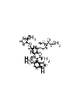 C=CC(=O)N1CCC(c2nc(OCC3CCCN3C)nc3c2O[C@H](C)C(c2c(C)ccc4[nH]ncc24)N3C)CC1